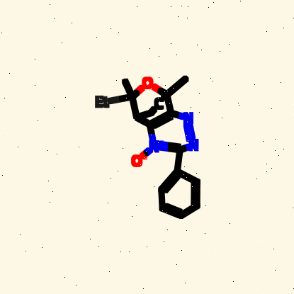 CCC1(C)OC2(C)CCC1c1c2nnc(-c2ccccc2)[n+]1[O-]